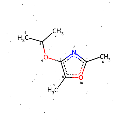 Cc1nc(OC(C)C)c(C)o1